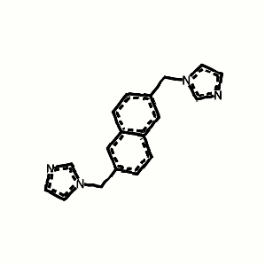 c1cn(Cc2ccc3cc(Cn4ccnc4)ccc3c2)cn1